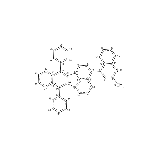 Cc1cc(-c2ccc3c4c(cccc24)-c2c-3c(-c3ccccc3)c3ccccc3c2-c2ccccc2)c2ccccc2n1